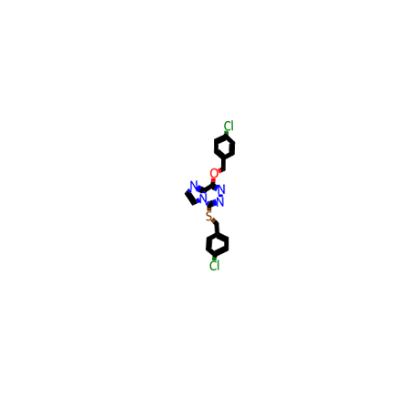 Clc1ccc(COc2nnc(SCc3ccc(Cl)cc3)n3ccnc23)cc1